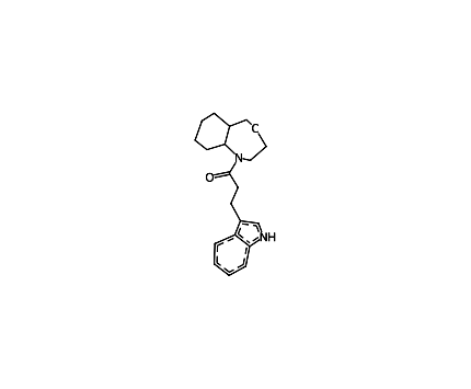 O=C(CCc1c[nH]c2ccccc12)N1CCCCC2CCCCC21